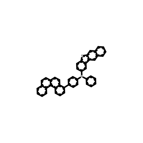 c1ccc(N(c2ccc(-c3cccc4c3ccc3ccc5ccccc5c34)cc2)c2ccc3sc4cc5ccccc5cc4c3c2)cc1